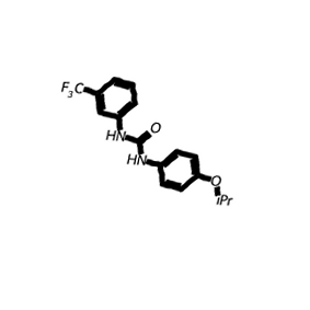 CC(C)Oc1ccc(NC(=O)Nc2cccc(C(F)(F)F)c2)cc1